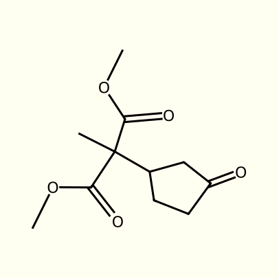 COC(=O)C(C)(C(=O)OC)C1CCC(=O)C1